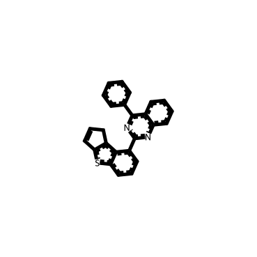 C1=Cc2sc3cccc(-c4nc(-c5ccccc5)c5ccccc5n4)c3c2C1